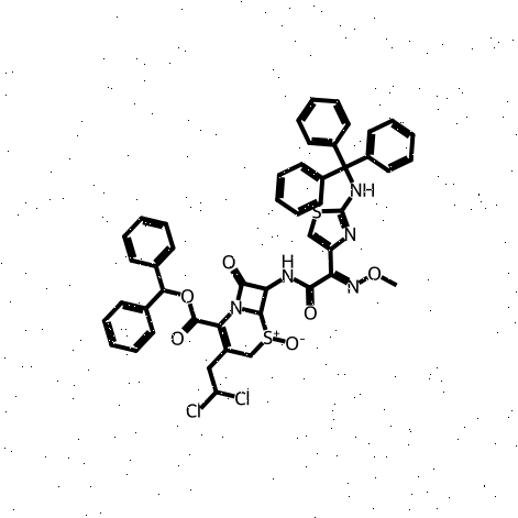 CO/N=C(/C(=O)NC1C(=O)N2C(C(=O)OC(c3ccccc3)c3ccccc3)=C(CC(Cl)Cl)C[S+]([O-])C12)c1csc(NC(c2ccccc2)(c2ccccc2)c2ccccc2)n1